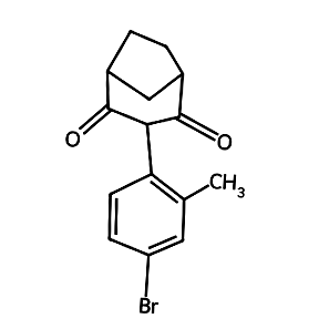 Cc1cc(Br)ccc1C1C(=O)C2CCC(C2)C1=O